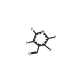 O=Cc1c(F)c(F)nc(F)c1F